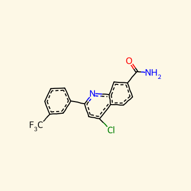 NC(=O)c1ccc2c(Cl)cc(-c3cccc(C(F)(F)F)c3)nc2c1